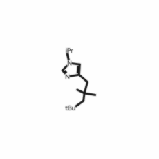 CC(C)n1cnc(CC(C)(C)CC(C)(C)C)c1